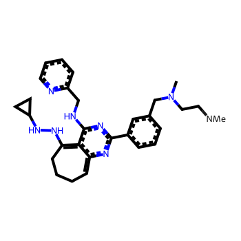 CNCCN(C)Cc1cccc(-c2nc(NCc3ccccn3)c3c(n2)=CCCCC=3NNC2CC2)c1